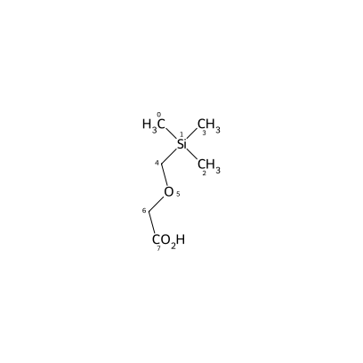 C[Si](C)(C)COCC(=O)O